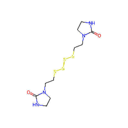 O=C1NCCN1CCSSSSCCN1CCNC1=O